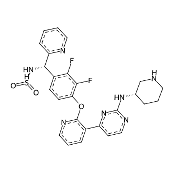 O=[SH](=O)N[C@H](c1ccccn1)c1ccc(Oc2ncccc2-c2ccnc(N[C@H]3CCCNC3)n2)c(F)c1F